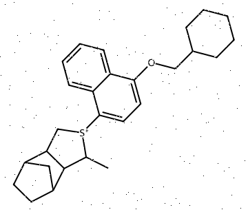 CC1C2C3CCC(C3)C2C[S+]1c1ccc(OCC2CCCCC2)c2ccccc12